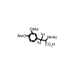 [2H]C([2H])(c1ccc(OC)c(OC)c1)C(NC(C)=O)C(=O)O